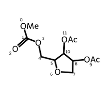 COC(=O)OCC1OCC(OC(C)=O)C1OC(C)=O